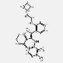 O=C1NCCc2[nH]c(-c3ccncc3OCC[C@@H]3CCO3)c(Nc3cccc(Cl)c3Cl)c21